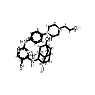 OCCN1CCN(c2ccc(Nc3ncc(Br)c(NC4[C@@H]5CC6C[C@@H]4CC(O)(C6)C5)n3)cc2)CC1